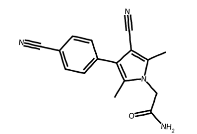 Cc1c(C#N)c(-c2ccc(C#N)cc2)c(C)n1CC(N)=O